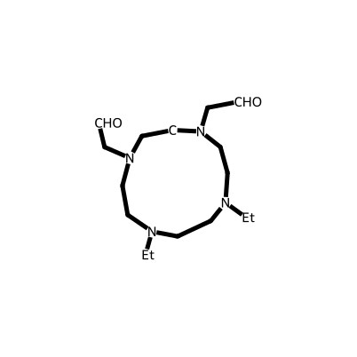 CCN1CCN(CC)CCN(CC=O)CCN(CC=O)CC1